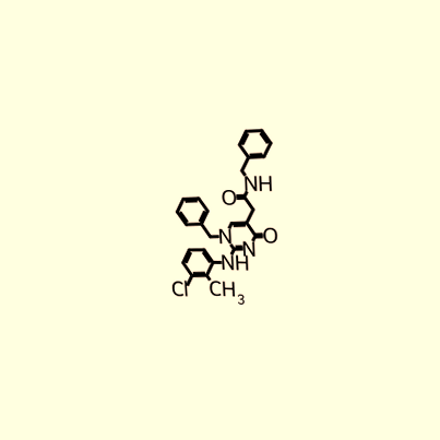 Cc1c(Cl)cccc1Nc1nc(=O)c(CC(=O)NCc2ccccc2)cn1Cc1ccccc1